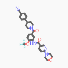 N#Cc1ccc(C2CCN(C(=O)c3ccc(OC(F)(F)F)c(NC(=O)c4ccc(N5CCOCC5)nc4)c3)CC2)cc1